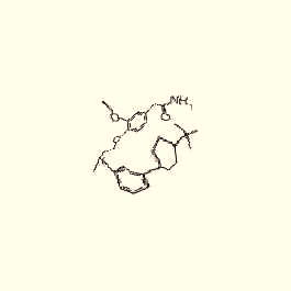 COc1cc(CC(N)=O)ccc1OCCN(C)c1cccc(C2CCC(C(C)(C)C)CC2)c1